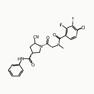 CN(CC(=O)N1CC(C(=O)Nc2ccccc2)CC1C#N)C(=O)c1ccc(Cl)c(F)c1F